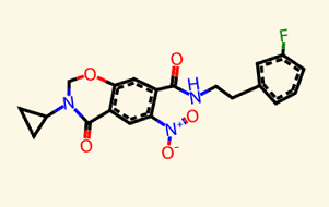 O=C(NCCc1cccc(F)c1)c1cc2c(cc1[N+](=O)[O-])C(=O)N(C1CC1)CO2